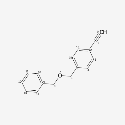 C#Cc1ccc(COCc2ccccc2)cc1